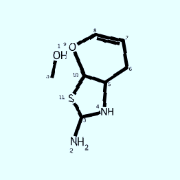 CO.NC1NC2CC=COC2S1